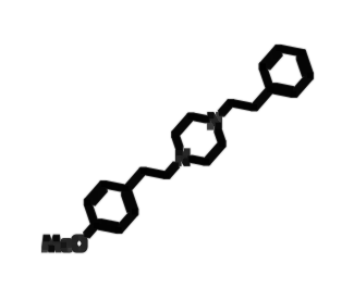 COc1ccc(CCN2CCN(CCc3ccccc3)CC2)cc1